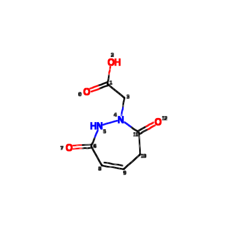 O=C(O)CN1NC(=O)C=CCC1=O